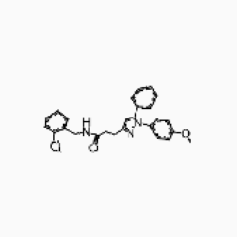 COc1ccc(-n2nc(CCC(=O)NCc3ccccc3Cl)cc2-c2ccccc2)cc1